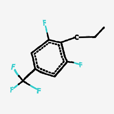 CC[CH]c1c(F)cc(C(F)(F)F)cc1F